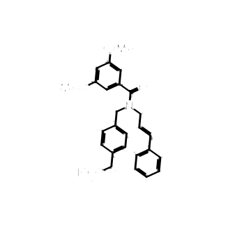 COc1cc(OC)cc(C(=O)N(CC=Cc2ccccc2)Cc2ccc(CC(=O)O)cc2)c1